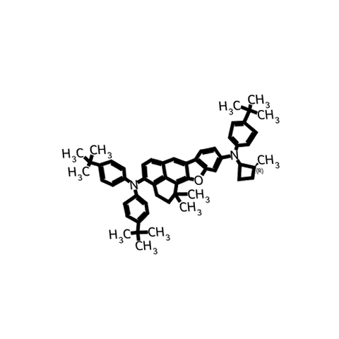 C[C@@H]1CCC1N(c1ccc(C(C)(C)C)cc1)c1ccc2c(c1)oc1c3c4c(c(N(c5ccc(C(C)(C)C)cc5)c5ccc(C(C)(C)C)cc5)ccc4cc12)CCC3(C)C